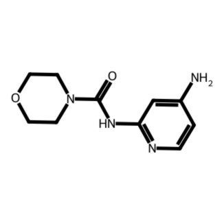 Nc1ccnc(NC(=O)N2CCOCC2)c1